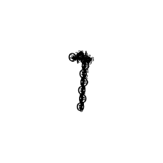 COCCOCCOCCOCCOCCOCC1(c2nccc(C=O)n2)CCC1